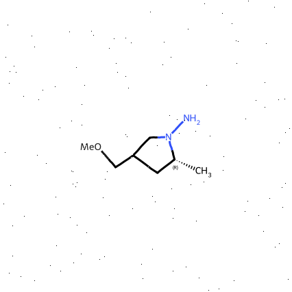 COCC1C[C@@H](C)N(N)C1